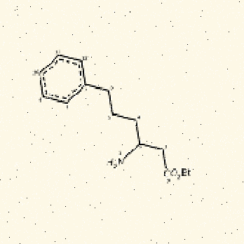 CCOC(=O)CC(N)CCCc1ccccc1